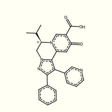 CC(C)[C@@H]1Cn2nc(-c3ccccc3)c(-c3cccnc3)c2-c2cc(=O)c(C(=O)O)cn21